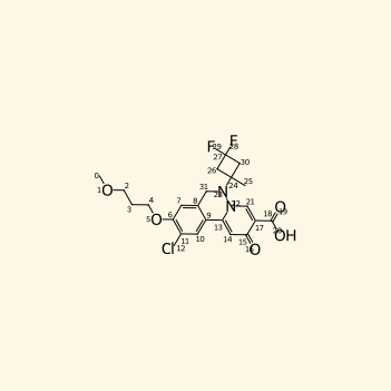 COCCCOc1cc2c(cc1Cl)-c1cc(=O)c(C(=O)O)cn1N(C1(C)CC(F)(F)C1)C2